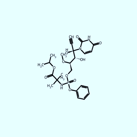 C#C[C@@](O)([C@H](O)[C@@H](COP(=O)(NC(C)(C)C(=O)OC(C)C)Oc1ccccc1)OC)n1ccc(=O)[nH]c1=O